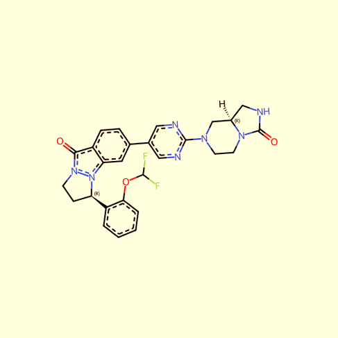 O=C1NC[C@@H]2CN(c3ncc(-c4ccc5c(=O)n6n(c5c4)[C@@H](c4ccccc4OC(F)F)CC6)cn3)CCN12